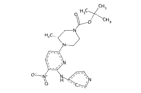 C[C@@H]1CN(C(=O)OC(C)(C)C)CCN1c1ccc([N+](=O)[O-])c(Nc2ccncc2)n1